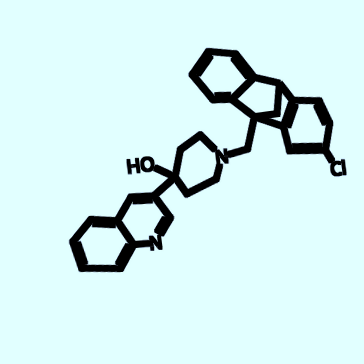 OC1(c2cnc3ccccc3c2)CCN(CC23CC(c4ccccc42)c2ccc(Cl)cc23)CC1